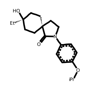 CC[C@]1(O)CC[C@@]2(CCN(c3ccc(OC(C)C)cc3)C2=O)CC1